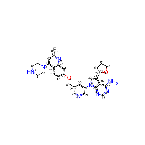 CCc1cc(N2CCNCC2)c2ccc(OCc3cncc(-n4cc([C@H]5CCCO5)c5c(N)ncnc54)c3)cc2n1